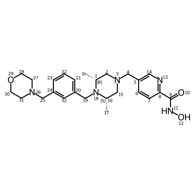 C[C@@H]1CN(Cc2ccc(C(=O)NO)nc2)C[C@H](C)N1Cc1cccc(CN2CCOCC2)c1